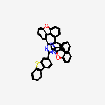 C1=Cc2sc3cc(-c4nc(-c5ccccc5)nc(-c5cccc6oc7cccc(-c8ccc9oc%10ccccc%10c9c8)c7c56)n4)ccc3c2CC1